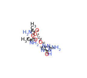 C[C@H](N)C(=O)OCC(COCn1cnc2c(=O)[nH]c(N)nc21)OC(=O)[C@H](C)N